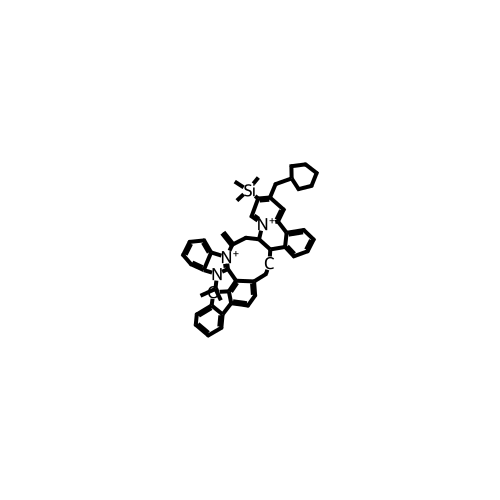 C=C1CC2C(CCc3ccc4c(oc5ccccc54)c3-c3n(C(C)C)c4ccccc4[n+]31)c1ccccc1-c1cc(CC3CCCCC3)c([Si](C)(C)C)c[n+]12